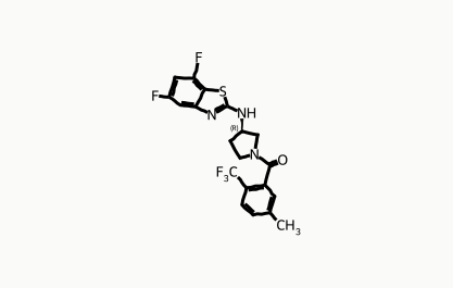 Cc1ccc(C(F)(F)F)c(C(=O)N2CC[C@@H](Nc3nc4cc(F)cc(F)c4s3)C2)c1